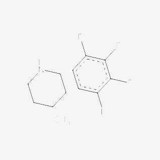 C.C1CCNCC1.Fc1ccc(F)c(F)c1F